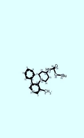 [CH2]c1cncc(-c2ccccc2)c1N1CCC(NC(=O)OC(C)(C)C)CC1